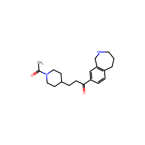 CC(=O)N1CCC(CCC(=O)c2ccc3c(c2)CNCCC3)CC1